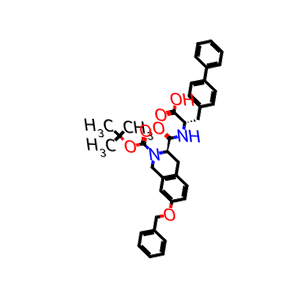 CC(C)(C)OC(=O)N1Cc2cc(OCc3ccccc3)ccc2C[C@@H]1C(=O)N[C@@H](Cc1ccc(-c2ccccc2)cc1)C(=O)O